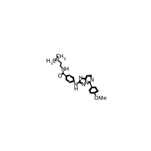 COc1ccc(-c2nccc3nc(Nc4ccc(C(=O)NCCN(C)C)cc4)nn23)cc1